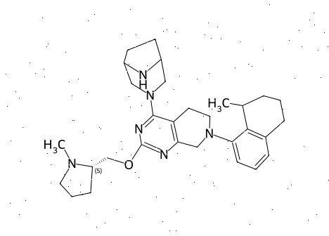 CC1CCCc2cccc(N3CCc4c(nc(OC[C@@H]5CCCN5C)nc4N4CC5CCC(C4)N5)C3)c21